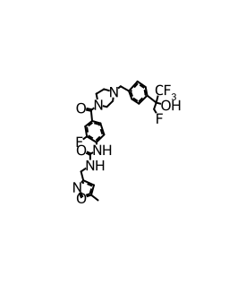 Cc1cc(CNC(=O)Nc2ccc(C(=O)N3CCN(Cc4ccc(C(O)(CF)C(F)(F)F)cc4)CC3)cc2F)no1